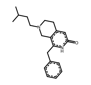 CC(C)CCN1CCc2cc(=O)[nH]c(Cc3ccccc3)c2C1